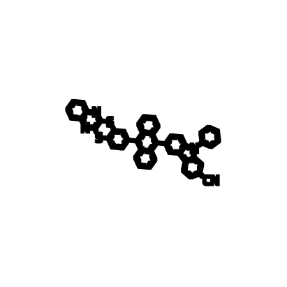 N#Cc1ccc2c3cc(-c4c5ccccc5c(-c5ccc6c(c5)Sc5nc7ccccc7nc5S6)c5ccccc45)ccc3n(-c3ccccc3)c2c1